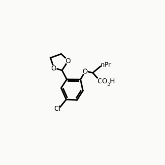 CCCC(Oc1ccc(Cl)cc1C1OCCO1)C(=O)O